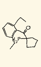 CCc1cccc(CC)c1C(=O)C1(P)CCCC1